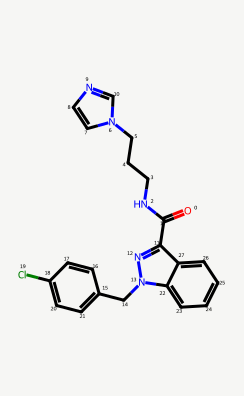 O=C(NCCCn1ccnc1)c1nn(Cc2ccc(Cl)cc2)c2ccccc12